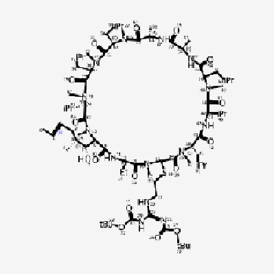 C/C=C/C[C@@H](C)[C@@H](O)C1C(=O)N[C@H](CC)C(=O)N(C)C(SCCNC(=NC(=O)OC(C)(C)C)NC(=O)OC(C)(C)C)C(=O)N(C)[C@@H](CC(C)C)C(=O)N[C@H](C(C)C)C(=O)N(C)C(CC(C)C)C(=O)N[C@H](C)C(=O)N[C@@H](C)C(=O)N(C)[C@H](CC(C)C)C(=O)N(C)[C@H](CC(C)C)C(=O)N(C)[C@@H](C(C)C)C(=O)N1C